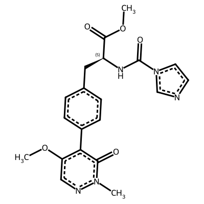 COC(=O)[C@H](Cc1ccc(-c2c(OC)cnn(C)c2=O)cc1)NC(=O)n1ccnc1